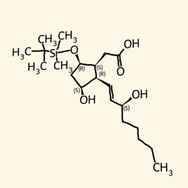 CCCCC[C@H](O)C=C[C@@H]1[C@H](CC(=O)O)[C@H](O[Si](C)(C)C(C)(C)C)C[C@@H]1O